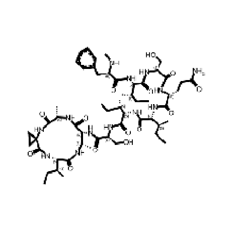 CC[C@H](C)[C@H](NC(=O)[C@@H](Cc1ccccc1)NC)C(=O)N[C@@H](CO)C(=O)N[C@H](CCC(N)=O)C(=O)N[C@@H](C(=O)N[C@H](C(=O)N[C@@H](CO)C(=O)N[C@H]1C(=O)N[C@@H](C)C(=O)NC2(CC2)C(=O)N[C@@H]([C@@H](C)CC)C(=O)N[C@H]1C)[C@@H](C)CC)[C@@H](C)CC